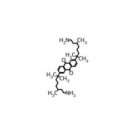 CC(CCN)CCCC(C)(C)c1ccc2c(c1)C(=O)c1ccc(C(C)(C)CCCC(C)CCN)cc1C2=O